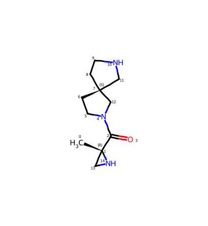 C[C@]1(C(=O)N2CC[C@]3(CCNC3)C2)CN1